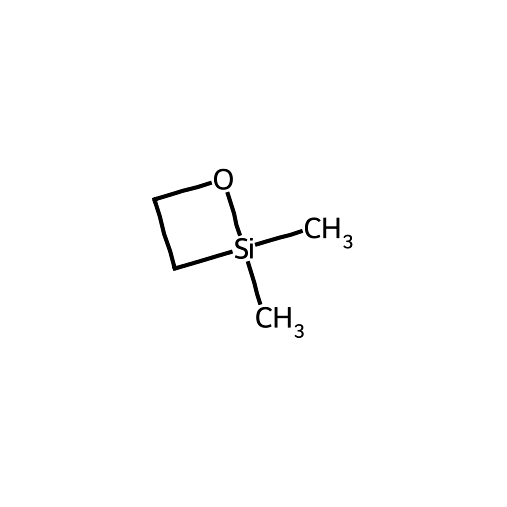 C[Si]1(C)CCO1